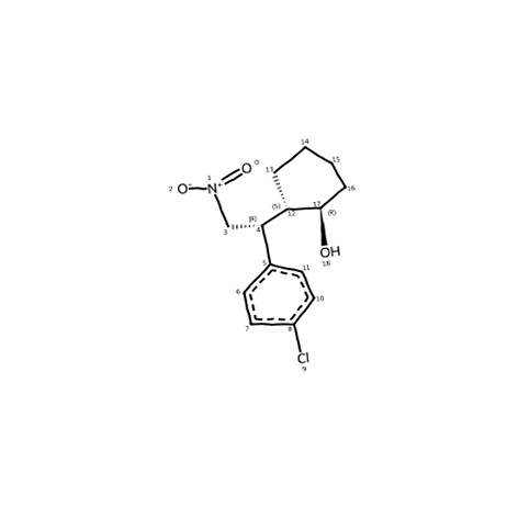 O=[N+]([O-])C[C@@H](c1ccc(Cl)cc1)[C@@H]1CCCC[C@H]1O